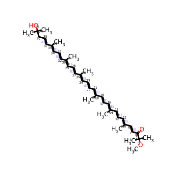 COC(C)(C)C(=O)/C=C/C(C)=C/C=C/C(C)=C/C=C/C(C)=C/C=C/C=C(C)/C=C/C=C(C)/C=C/C=C(C)/C=C/CC(C)(C)O